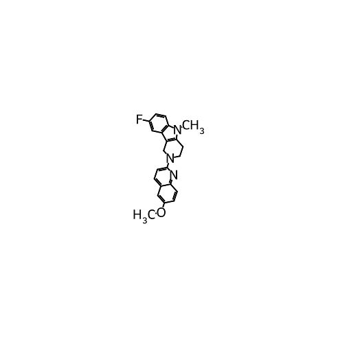 COc1ccc2nc(N3CCc4c(c5cc(F)ccc5n4C)C3)ccc2c1